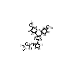 CCC(C)OC(=O)Cn1cccc1-c1nc(-c2ccc(OC)cc2)c(-c2ccc(OC)cc2)s1